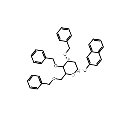 c1ccc(COCC2O[C@@H](Oc3ccc4ccccc4c3)C[C@@H](OCc3ccccc3)C2OCc2ccccc2)cc1